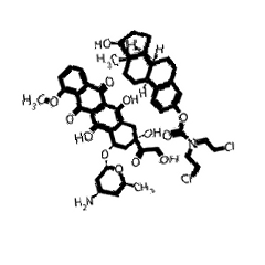 COc1cccc2c1C(=O)c1c(O)c3c(c(O)c1C2=O)C[C@@](O)(C(=O)CO)C[C@@H]3O[C@H]1C[C@H](N)C[C@H](C)O1.C[C@]12CC[C@@H]3c4ccc(OC(=O)N(CCCl)CCCl)cc4CC[C@H]3[C@@H]1CC[C@@H]2O